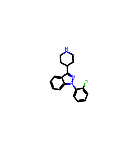 Clc1ccccc1-n1nc(C2CCNCC2)c2ccccc21